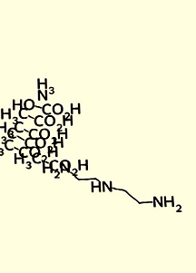 CC(=O)O.CC(=O)O.CC(=O)O.CC(=O)O.CC(=O)O.N.NCCNCCN.O=C(O)O